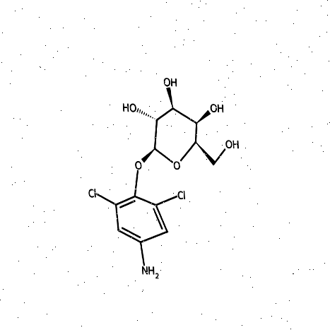 Nc1cc(Cl)c(O[C@@H]2O[C@H](CO)[C@H](O)[C@H](O)[C@H]2O)c(Cl)c1